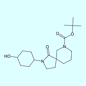 CC(C)(C)OC(=O)N1CCCC2(CCN(C3CCC(O)CC3)C2=O)C1